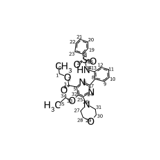 CCOC(=O)c1nc(-c2ccccc2NS(=O)(=O)c2ccccc2)nc(N2CCOCC2)c1OCC